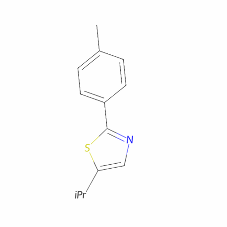 Cc1ccc(-c2ncc(C(C)C)s2)cc1